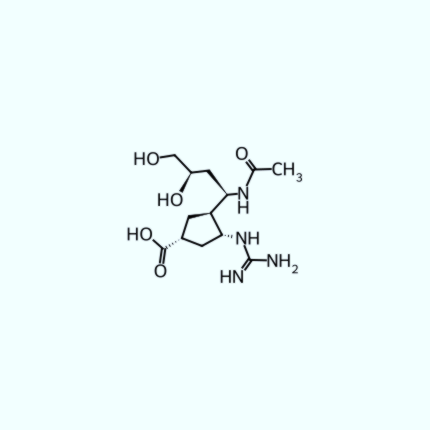 CC(=O)N[C@H](C[C@@H](O)CO)[C@@H]1C[C@@H](C(=O)O)C[C@H]1NC(=N)N